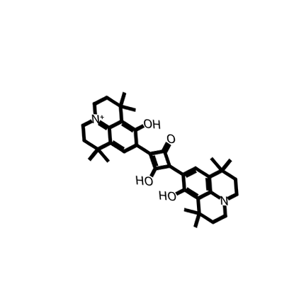 CC1(C)CC[N+]2=C3C1=CC(C1=C(O)C(c4cc5c6c(c4O)C(C)(C)CCN6CCC5(C)C)C1=O)C(O)=C3C(C)(C)CC2